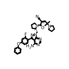 CC(C)(/C=C(/C#N)C(=O)N1CCC[C@H]1Cn1nc(-c2ccc(Oc3ccccc3)cc2F)c2c(N)ncnc21)N1CCCC1